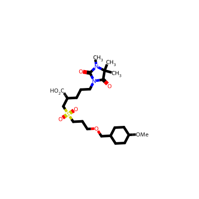 COC1CCC(COCCCS(=O)(=O)CC(CCCN2C(=O)N(C)C(C)(C)C2=O)C(=O)O)CC1